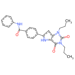 CCCn1c(=O)c2[nH]c(-c3ccc(C(=O)Nc4ccccc4)cc3)cc2n(CCC)c1=O